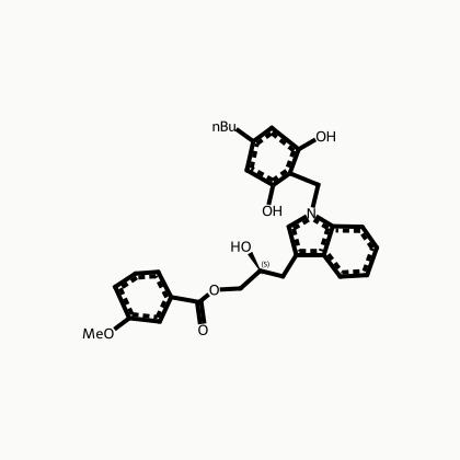 CCCCc1cc(O)c(Cn2cc(C[C@H](O)COC(=O)c3cccc(OC)c3)c3ccccc32)c(O)c1